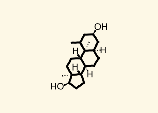 CC1C[C@@H](O)C[C@H]2CC[C@H]3[C@@H]4CC[C@@H](O)[C@@]4(C)CC[C@@H]3[C@@]12C